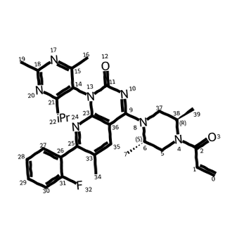 C=CC(=O)N1C[C@H](C)N(c2nc(=O)n(-c3c(C)nc(C)nc3C(C)C)c3nc(-c4ccccc4F)c(C)cc23)C[C@H]1C